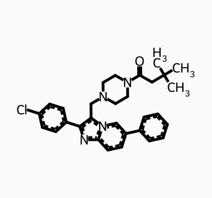 CC(C)(C)CC(=O)N1CCN(Cc2c(-c3ccc(Cl)cc3)nc3ccc(-c4ccccc4)cn23)CC1